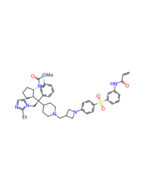 C=CC(=O)Nc1cccc(S(=O)(=O)c2ccc(N3CC(CN4CCC([C@@](Cn5ccnc5CC)(c5cccc(F)c5)[C@H]5CCC[C@@H]5NC(=O)OC)CC4)C3)cc2)c1